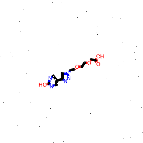 O=C(O)COCCOCCn1cc(-c2cnc(O)nc2)nn1